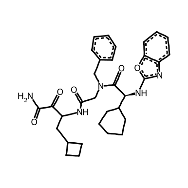 NC(=O)C(=O)C(CC1CCC1)NC(=O)CN(Cc1ccccc1)C(=O)[C@@H](Nc1nc2ccccc2o1)C1CCCCC1